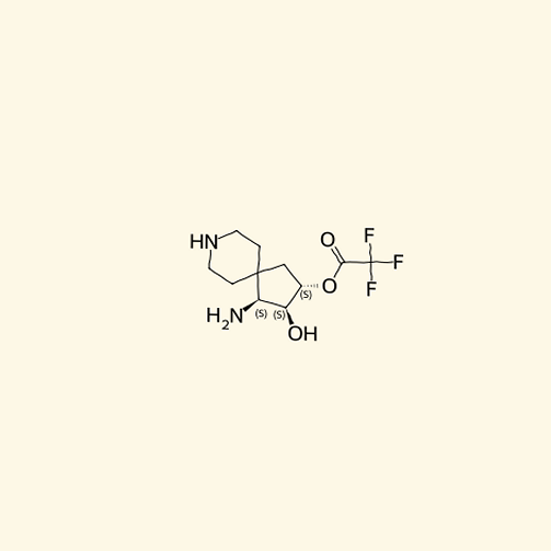 N[C@@H]1[C@H](O)[C@@H](OC(=O)C(F)(F)F)CC12CCNCC2